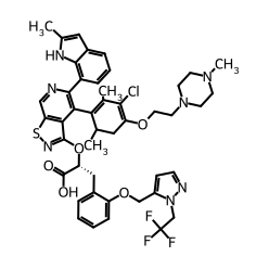 CC1=C(c2c(-c3cccc4cc(C)[nH]c34)ncc3snc(O[C@H](Cc4ccccc4OCc4ccnn4CC(F)(F)F)C(=O)O)c23)C(C)CC(OCCN2CCN(C)CC2)=C1Cl